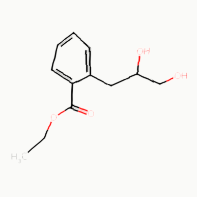 CCOC(=O)c1ccccc1CC(O)CO